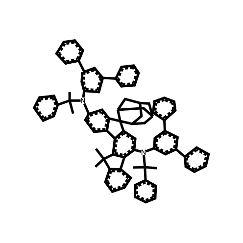 CC1(C)c2ccccc2-c2c(N(c3cc(-c4ccccc4)cc(-c4ccccc4)c3)C(C)(C)c3ccccc3)cc3c(c21)-c1ccc(N(c2cc(-c4ccccc4)cc(-c4ccccc4)c2)C(C)(C)c2ccccc2)cc1C31C2CC3CC(C2)CC1C3